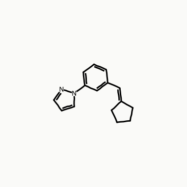 C(=C1CCCC1)c1cccc(-n2cccn2)c1